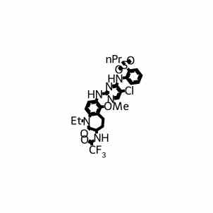 CCCS(=O)(=O)c1ccccc1Nc1nc(Nc2ccc3c(c2OC)CCC(NC(=O)C(F)(F)F)C(=O)N3CC)ncc1Cl